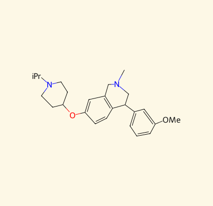 COc1cccc(C2CN(C)Cc3cc(OC4CCN(C(C)C)CC4)ccc32)c1